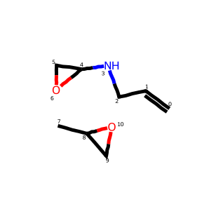 C=CCNC1CO1.CC1CO1